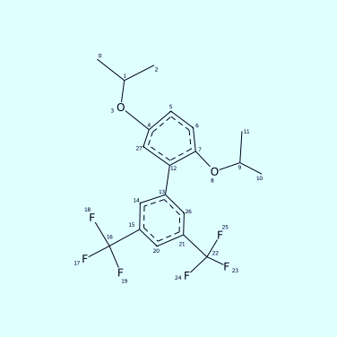 CC(C)Oc1ccc(OC(C)C)c(-c2cc(C(F)(F)F)cc(C(F)(F)F)c2)c1